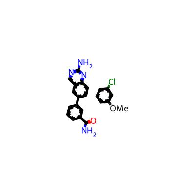 COc1cccc(Cl)c1.NC(=O)c1cccc(-c2ccc3nc(N)ncc3c2)c1